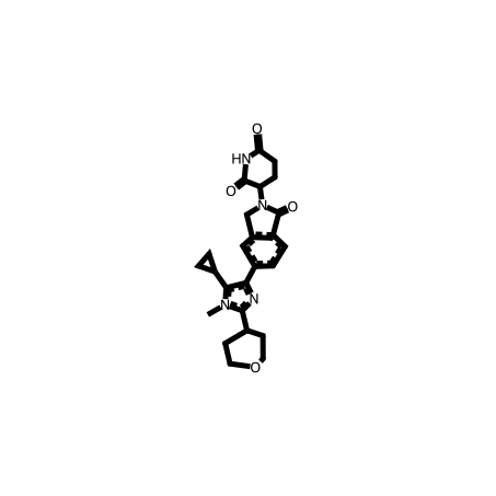 Cn1c(C2CCOCC2)nc(-c2ccc3c(c2)CN(C2CCC(=O)NC2=O)C3=O)c1C1CC1